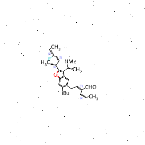 C=C(NC)c1c(C(/C=C\C(F)=C/C)=C/C)oc2cc(C(C)CC)c(C/C=C(C=O)\C=C/C)cc12